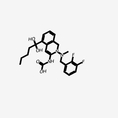 CCCCC(O)(O)c1cccc2c1C=C(NC(=O)O)N(N(C)Cc1cccc(F)c1F)C2